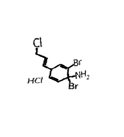 Cl.NC1(Br)C=CC(/C=C/CCl)C=C1Br